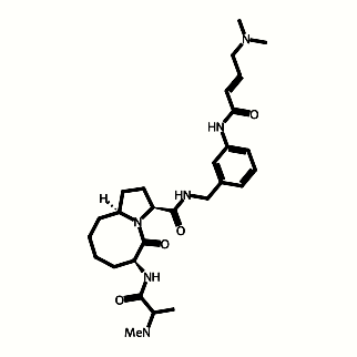 CNC(C)C(=O)N[C@H]1CCCC[C@H]2CC[C@@H](C(=O)NCc3cccc(NC(=O)C=CCN(C)C)c3)N2C1=O